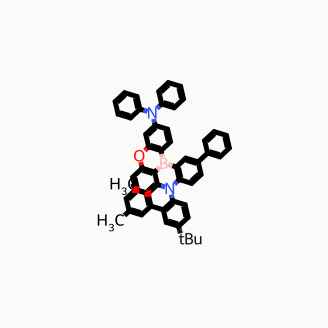 Cc1cc(C)cc(-c2cc(C(C)(C)C)ccc2N2c3ccc(-c4ccccc4)cc3B3c4ccc(N(c5ccccc5)c5ccccc5)cc4Oc4cccc2c43)c1